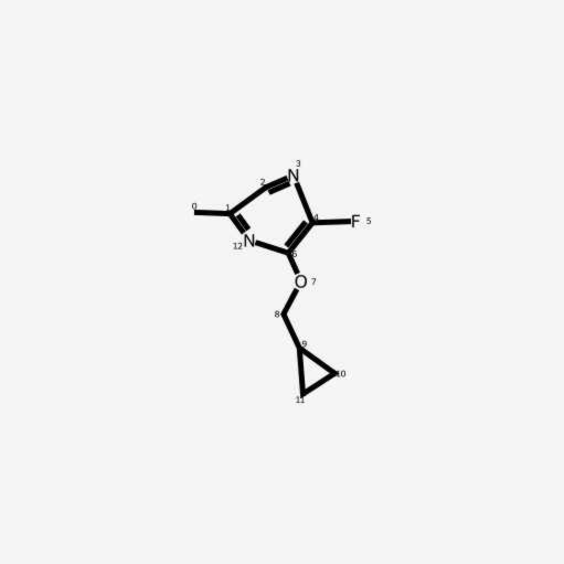 Cc1cnc(F)c(OCC2CC2)n1